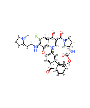 CN1CCCC1CCNc1c(F)cc2c(=O)c(C(=O)N3CC[C@H](NC(=O)OC(C)(C)C)C3)cn3c4cc5c(cc4oc1c23)c(=O)c1ccccc15